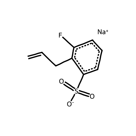 C=CCc1c(F)cccc1S(=O)(=O)[O-].[Na+]